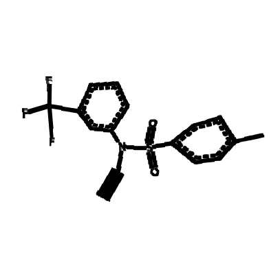 C#CN(c1cccc(C(F)(F)F)c1)S(=O)(=O)c1ccc(C)cc1